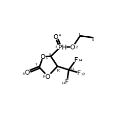 CCO[PH](=O)C1OC(=O)OC1C(F)(F)F